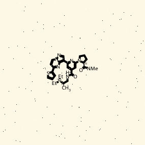 CCN(CC)[C@@H](C)CNC(=O)c1cc(-c2cnn3ccc(-c4cccs4)nc23)nc(N2CCC[C@H]2C(=O)NC)c1